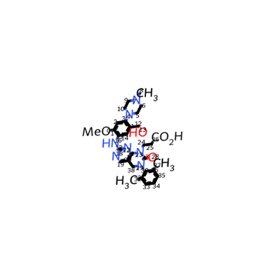 COc1cc(N2CCN(C)CC2)c(CO)cc1Nc1ncc2c(n1)N(CCC(=O)O)C(=O)N(c1c(C)cccc1C)C2